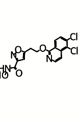 O=C(NO)c1cc(CCOc2nccc3c(Cl)c(Cl)ccc23)on1